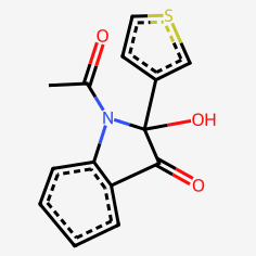 CC(=O)N1c2ccccc2C(=O)C1(O)c1ccsc1